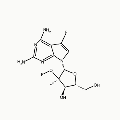 C[C@@]1(OF)[C@H](O)[C@@H](CO)O[C@H]1n1cc(F)c2c(N)nc(N)nc21